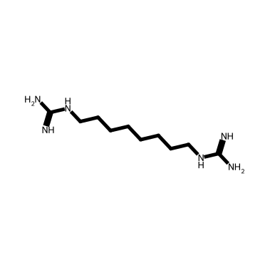 N=C(N)NCCCCCCCCNC(=N)N